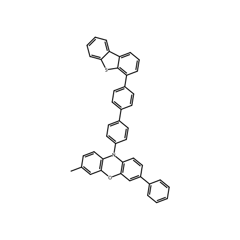 Cc1ccc2c(c1)Oc1cc(-c3ccccc3)ccc1N2c1ccc(-c2ccc(-c3cccc4c3sc3ccccc34)cc2)cc1